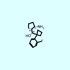 N[C@H]1CCC[C@H]1[C@@H](O)C1(c2ccccc2F)CCC1